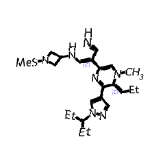 CC/C=C1/C(c2cnn(C(CC)CC)c2)=NC(/C(C=N)=C/NC2CN(SC)C2)=CN1C